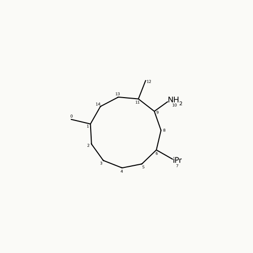 CC1CCCCC(C(C)C)CC(N)C(C)CC1